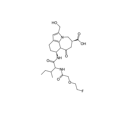 CCC(C)C(NC(=O)COCCF)C(=O)N[C@H]1CCc2cc(CO)n3c2C1C(=O)C[C@H](C(=O)O)C3